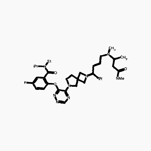 CCN(C(=O)c1cc(F)ccc1Oc1nncnc1N1CCC2(C1)CN(C(CCCN(C)C(C)CC(=O)NC)C(C)C)C2)C(C)C